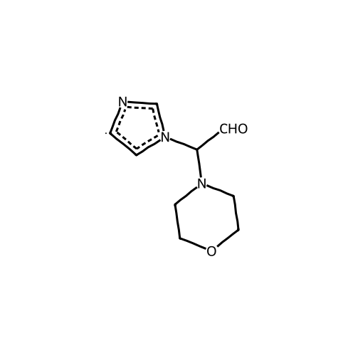 O=CC(N1CCOCC1)n1c[c]nc1